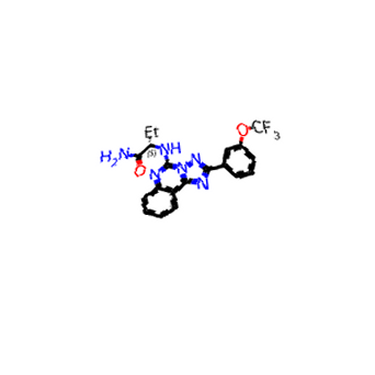 CC[C@H](Nc1nc2ccccc2c2nc(-c3cccc(OC(F)(F)F)c3)nn12)C(N)=O